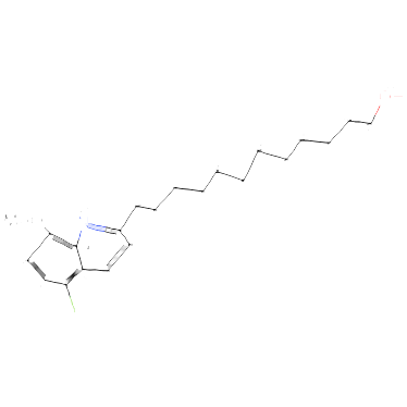 COc1ccc(F)c2ccc(CCCCCCCCCCCCO)nc12